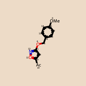 COc1ccc(COc2cc(C(C)=O)on2)cc1